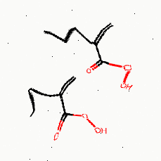 C=C(CC)C(=O)OO.C=C(CCC)C(=O)OO